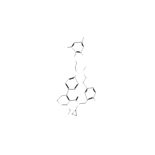 COCCc1ccc(Cl)c(CN(C(=O)C2=C(c3ccc(OCCOc4c(Cl)cc(C)cc4Cl)cc3)CCN[C@@H]2CO)C2CC2)c1